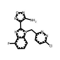 Nc1nonc1-c1nc2c(F)cccc2n1Cc1ccc(Cl)nn1